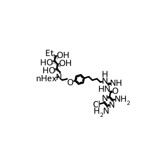 CCCCCCN(CCOc1ccc(CCCCNC(=N)NC(=O)c2nc(Cl)c(N)nc2N)cc1)C[C@@H](O)[C@H](O)[C@@H](O)[C@H](O)CC